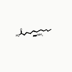 C=C.CCCCCCCCCCC(=O)O.N